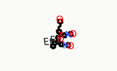 CCC1(CC)c2ccccc2-c2c1c1c(c3cc(N4CCOCC4)ccc23)OC(c2ccc(CCC3CCOCC3)cc2)(c2ccc(N3CCOCC3)cc2)C=C1